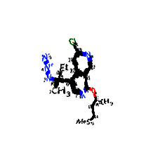 CC[C@@](C)(N=[N+]=[N-])c1cnc(O[C@H](C)CCSC)c2cnc(Cl)cc12